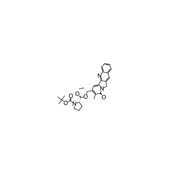 CC[C@@H](OC(=O)[C@@H]1CCCN1C(=O)OC(C)(C)C)c1cc2n(c(=O)c1C)Cc1cc3ccccc3nc1-2